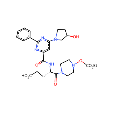 CCOC(=O)ON1CCN(C(=O)[C@H](CCC(=O)O)NC(=O)c2cc(N3CC[C@@H](O)C3)nc(-c3ccccc3)n2)CC1